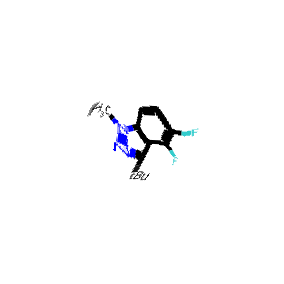 Cn1nc(C(C)(C)C)c2c(F)c(F)ccc21